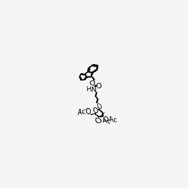 CC(=O)OC[C@H]1O[C@H](OCCCCNC(=O)OCC2c3ccccc3-c3ccccc32)[CH][C@H](OC(C)=O)[C@H]1OC(C)=O